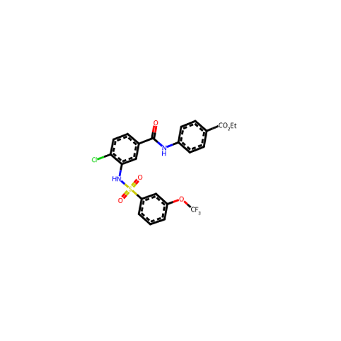 CCOC(=O)c1ccc(NC(=O)c2ccc(Cl)c(NS(=O)(=O)c3cccc(OC(F)(F)F)c3)c2)cc1